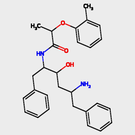 Cc1ccccc1OC(C)C(=O)NC(Cc1ccccc1)C(O)CC(N)Cc1ccccc1